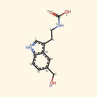 O=C(O)NCCc1c[nH]c2ccc(CO)cc12